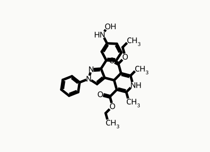 CCOC(=O)C1=C(C)NC(C)=C(C(=O)OCC)C1c1cn(-c2ccccc2)nc1-c1cccc(NO)c1